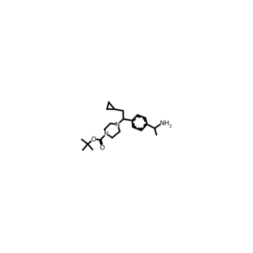 CC(N)c1ccc(C(CC2CC2)N2CCN(C(=O)OC(C)(C)C)CC2)cc1